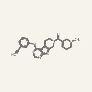 C#Cc1cccc(Nc2ncnc3sc4c(c23)CCN(C(=O)C2=CCCN(C)C2)C4)c1